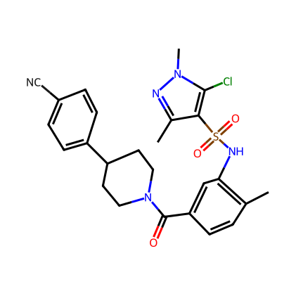 Cc1ccc(C(=O)N2CCC(c3ccc(C#N)cc3)CC2)cc1NS(=O)(=O)c1c(C)nn(C)c1Cl